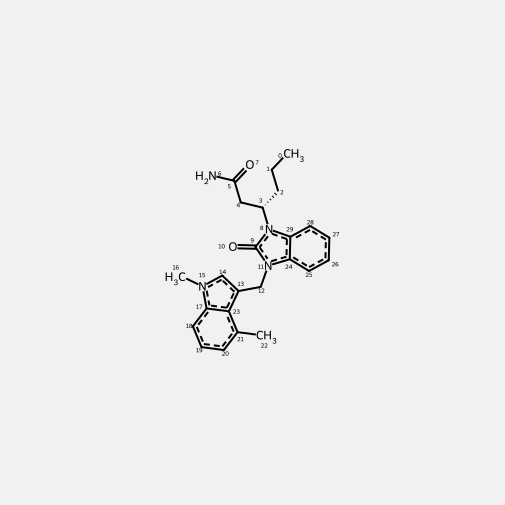 CCC[C@@H](CC(N)=O)n1c(=O)n(Cc2cn(C)c3cccc(C)c23)c2ccccc21